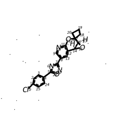 Clc1ccc(-c2nc(-c3cnc4c(c3)[C@@H]3O[C@@H]3C3(CCC3)O4)no2)cc1